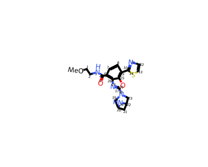 COCCNC(=O)c1ccc(-c2nccs2)c2oc(N3CC4CC(C3)N4)nc12